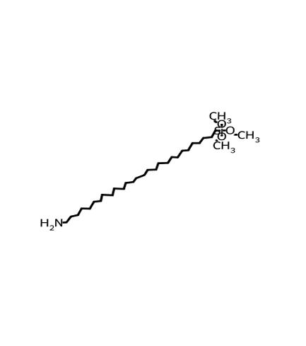 CCO[Si](CCCCCCCCCCCCCCCCCCCCCCCCCCCCN)(OCC)OCC